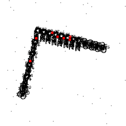 N#[N+]c1ccccc1.N#[N+]c1ccccc1.N#[N+]c1ccccc1.N#[N+]c1ccccc1.N#[N+]c1ccccc1.N#[N+]c1ccccc1.N#[N+]c1ccccc1.N#[N+]c1ccccc1.N#[N+]c1ccccc1.N#[N+]c1ccccc1.N#[N+]c1ccccc1.N#[N+]c1ccccc1.O=P([O-])([O-])F.O=P([O-])([O-])F.O=P([O-])([O-])F.O=P([O-])([O-])F.O=P([O-])([O-])F.O=P([O-])([O-])F